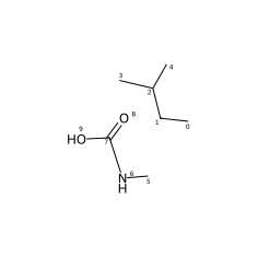 CCC(C)C.CNC(=O)O